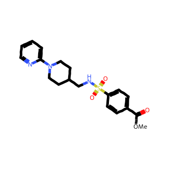 COC(=O)c1ccc(S(=O)(=O)NCC2CCN(c3ccccn3)CC2)cc1